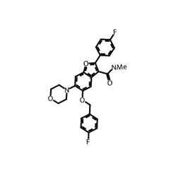 CNC(=O)c1c(-c2ccc(F)cc2)oc2cc(N3CCOCC3)c(OCc3ccc(F)cc3)cc12